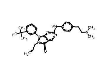 C=CCn1c(=O)c2cnc(Nc3ccc(CCN(C)C)cc3)nc2n1-c1cccc(C(C)(C)O)c1